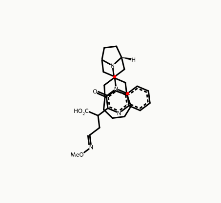 CO/N=C/CC(C(=O)O)c1nc2ccccc2n(C2CC3CC[C@H](C2)N3C2CC3CCCCC(C3)C2)c1=O